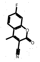 Cc1c(C#N)c(=O)oc2cc(F)ccc12